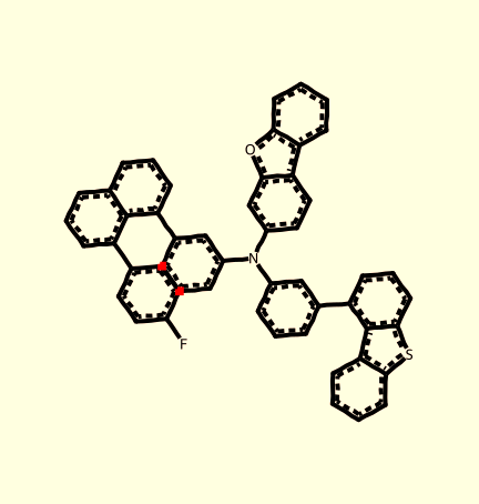 Fc1ccc(-c2cccc3cccc(-c4cccc(N(c5cccc(-c6cccc7sc8ccccc8c67)c5)c5ccc6c(c5)oc5ccccc56)c4)c23)cc1